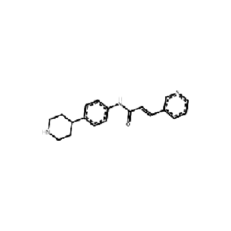 O=C(/C=C/c1cccnc1)Nc1ccc(C2CCNCC2)cc1